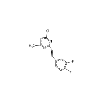 Cc1cc(Cl)nc(C=Cc2ccc(F)c(F)c2)n1